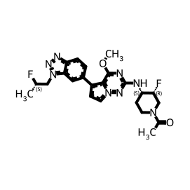 COc1nc(N[C@H]2CCN(C(C)=O)C[C@H]2F)nn2ccc(-c3ccc4nnn(C[C@H](C)F)c4c3)c12